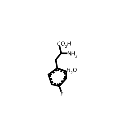 NC(Cc1ccc(F)cc1)C(=O)O.O